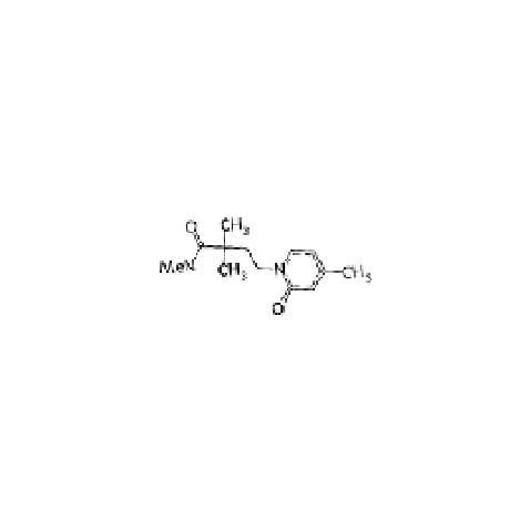 CNC(=O)C(C)(C)CCn1ccc(C)cc1=O